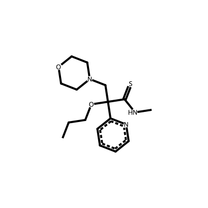 CCCOC(CN1CCOCC1)(C(=S)NC)c1ccccn1